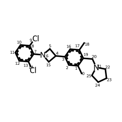 Cc1cc(C2CN(c3c(Cl)cccc3Cl)C2)cc(C)c1CN1CCCC1